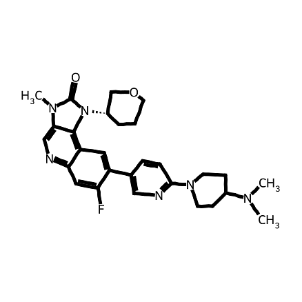 CN(C)C1CCN(c2ccc(-c3cc4c(cc3F)ncc3c4n([C@H]4CCCOC4)c(=O)n3C)cn2)CC1